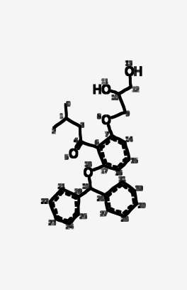 CC(C)CC(=O)c1c(OCC(O)CO)cccc1OC(c1ccccc1)c1ccccc1